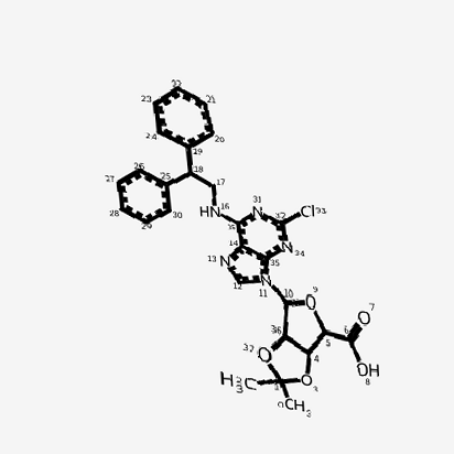 CC1(C)OC2C(C(=O)O)OC(n3cnc4c(NCC(c5ccccc5)c5ccccc5)nc(Cl)nc43)C2O1